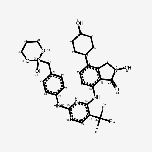 CN1Cc2c(C3CCC(O)CC3)ccc(Nc3nc(Nc4ccc(C[P]5(O)OCCCO5)cc4)ncc3C(F)(F)F)c2C1=O